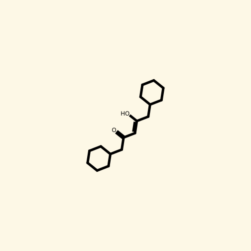 O=C(/C=C(\O)CC1CCCCC1)CC1CCCCC1